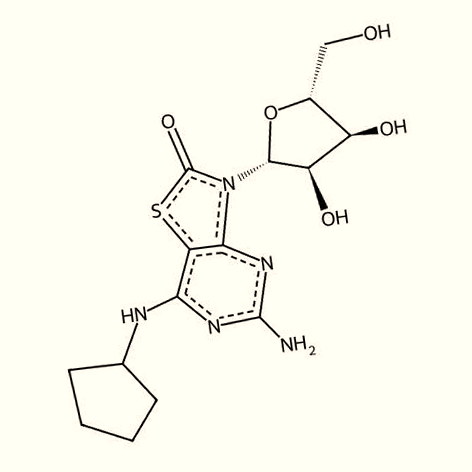 Nc1nc(NC2CCCC2)c2sc(=O)n([C@@H]3O[C@H](CO)[C@@H](O)[C@H]3O)c2n1